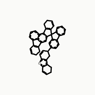 C1=CC2=C(CC1)c1c(cc3c4c(cccc14)C1=C3CCC=C1)C21c2ccccc2-c2ccc(C3C=Cc4oc5c(c4C3)CCC=C5)cc21